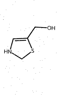 OCC1=CNCS1